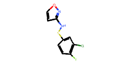 Fc1ccc(SNc2ccon2)cc1Cl